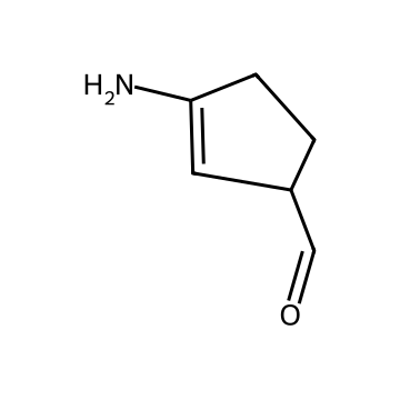 NC1=CC(C=O)CC1